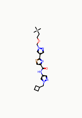 C[Si](C)(C)CCOCn1cc(-c2nc(C(=O)Nc3cnn(CC4CCC4)c3)cs2)cn1